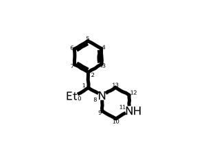 CCC(c1[c]cccc1)N1CCNCC1